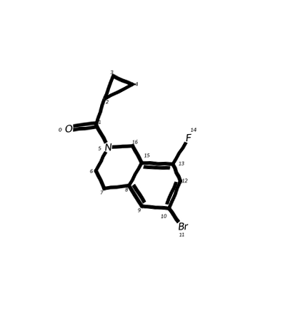 O=C(C1CC1)N1CCc2cc(Br)cc(F)c2C1